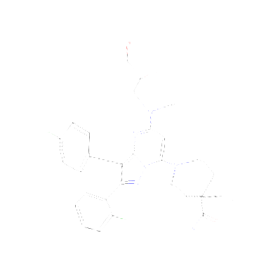 CN(CC(O)CO)c1cc(N2CCC(C)(C(N)=O)CC2)n2nc(-c3ccccc3Cl)c(-c3ccc(Cl)cc3)c2n1